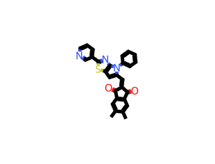 Cc1cc2c(cc1C)C(=O)C(=Cc1cc3sc(-c4cccnc4)nc3n1-c1ccccc1)C2=O